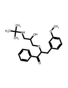 COc1cccc(CC(OCC(O)CNC(C)(C)C)C(=O)c2ccccc2)c1